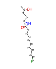 CC(O)CCCNC(=O)CCCCCCCCCF